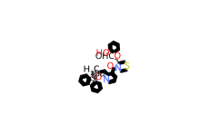 CC(Cc1ncccc1C(=O)N1CCSC[C@H]1COC1(C=O)CC=CC=C1O)O[Si](c1ccccc1)(c1ccccc1)C(C)(C)C